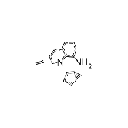 C#C.Nc1cccc2cccnc12.c1cc2cc-2c1